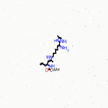 C=C/C=C(\C=C(/C)NCCC/C=C/C[C@H](N)C1NC=C(C)N1)NC(=O)OC